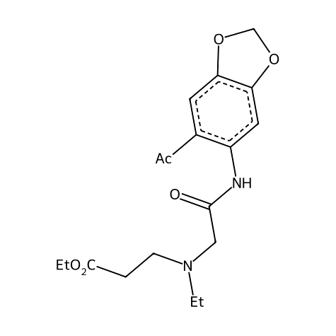 CCOC(=O)CCN(CC)CC(=O)Nc1cc2c(cc1C(C)=O)OCO2